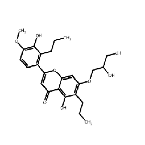 CCCc1c(-c2cc(=O)c3c(O)c(CCC)c(OCC(O)CO)cc3o2)ccc(OC)c1O